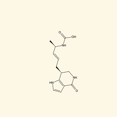 C[C@H](C=CC[C@H]1CNC(=O)c2cc[nH]c21)NC(=O)O